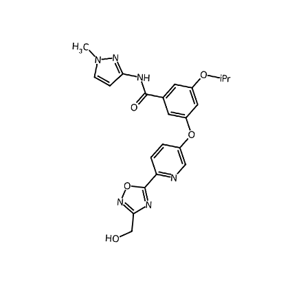 CC(C)Oc1cc(Oc2ccc(-c3nc(CO)no3)nc2)cc(C(=O)Nc2ccn(C)n2)c1